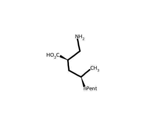 CCCCC[C@H](C)C[C@H](CN)C(=O)O